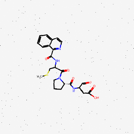 CSCC(NC(=O)c1nccc2ccccc12)C(=O)N1CCC[C@H]1C(=O)NC(C=O)CC(=O)O